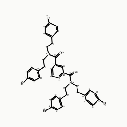 CCc1ccc(CCN(CCc2ccc(CC)cc2)C(=O)c2ccnc(C(=O)N(CCc3ccc(CC)cc3)CCc3ccc(CC)cc3)c2)cc1